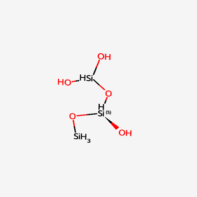 O[SiH](O)O[Si@@H](O)O[SiH3]